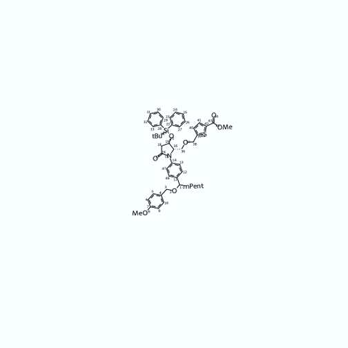 CCCCCC(OCc1ccc(OC)cc1)c1ccc(N2C(=O)C[C@@H](O[Si](c3ccccc3)(c3ccccc3)C(C)(C)C)[C@@H]2COCc2ccc(C(=O)OC)s2)cc1